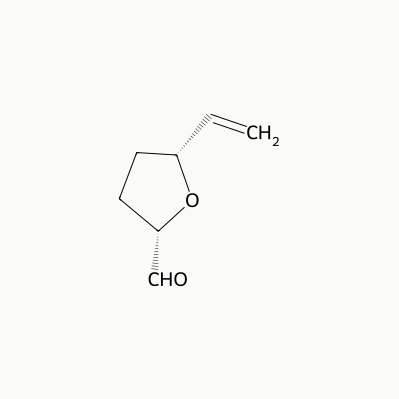 C=C[C@H]1CC[C@@H](C=O)O1